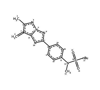 C=c1c(C)nn2nc(-c3ccc(N(C)S(=O)(=O)CCCC)cc3)nc12